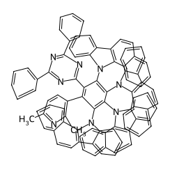 Cc1ccc(-c2c(-c3nc(-c4ccccc4)nc(-c4ccccc4)n3)c(-n3c4ccccc4c4ccc5ccccc5c43)c(-n3c4ccccc4c4ccc5ccccc5c43)c(-n3c4ccccc4c4ccc5ccccc5c43)c2-n2c3ccccc3c3ccc4ccccc4c32)c(C)n1